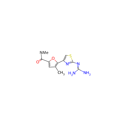 CNC(=O)c1cc(C)c(-c2csc(N=C(N)N)n2)o1